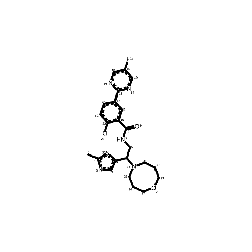 Cc1ncc(C(CNC(=O)c2cc(-c3ncc(F)cn3)ccc2Cl)N2CCCOCCC2)s1